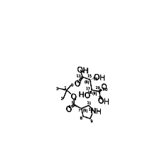 CC(C)(C)OC(=O)[C@@H]1CCNC1.O=C(O)[C@H](O)[C@@H](O)C(=O)O